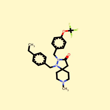 CCc1ccc(CN2N(Cc3ccc(OC(F)(F)F)cc3)C(=O)CC23CCN(C)CC3)cc1